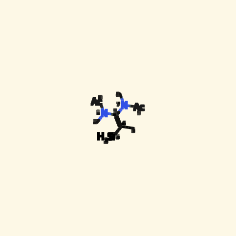 CC(=O)N(C)C(=C(C)[SiH3])N(C)C(C)=O